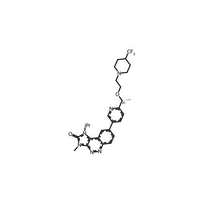 CC(C)n1c(=O)n(C)c2nnc3ccc(-c4ccc([C@@H](C)OCCN5CCC(C(F)(F)F)CC5)nc4)cc3c21